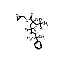 CCC(C)(CC(C)(CC(C)(C)C(C)=O)C(=O)OCC1CO1)C(=O)CC(C)(C)c1ccccc1